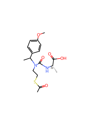 COc1ccc(C(C)N(CCSC(C)=O)C(=O)N[C@@H](C)C(=O)O)cc1